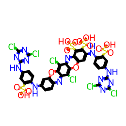 O=S(=O)(O)c1cc(Nc2nc(Cl)nc(Cl)n2)ccc1Nc1ccc2c(c1)Oc1c(Cl)c3c(c(Cl)c1=N2)Oc1cc(Nc2ccc(Nc4nc(Cl)nc(Cl)n4)cc2S(=O)(=O)O)c(S(=O)(=O)O)c(S(=O)(=O)O)c1N=3